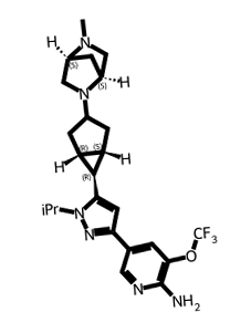 CC(C)n1nc(-c2cnc(N)c(OC(F)(F)F)c2)cc1[C@H]1[C@@H]2CC(N3C[C@@H]4C[C@H]3CN4C)C[C@@H]21